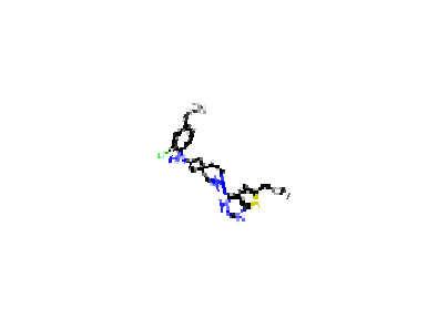 N#CCc1ccc(NC2CC3(CCN(c4ncnc5sc(CC(F)(F)F)cc45)C3)C2)c(Cl)c1